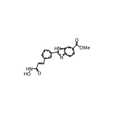 COC(=O)c1ccc2nc(-c3cccc(/C=C/C(=O)NO)c3)[nH]c2c1